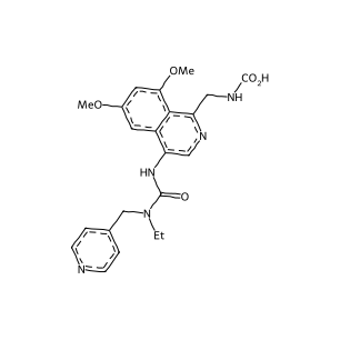 CCN(Cc1ccncc1)C(=O)Nc1cnc(CNC(=O)O)c2c(OC)cc(OC)cc12